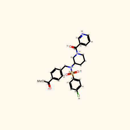 COC(=O)c1ccc(CN(C2CCCN(C(=O)c3cccnc3)C2)S(=O)(=O)c2ccc(Cl)cc2)cc1